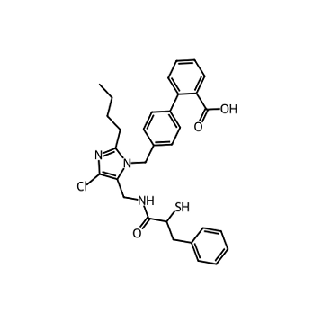 CCCCc1nc(Cl)c(CNC(=O)C(S)Cc2ccccc2)n1Cc1ccc(-c2ccccc2C(=O)O)cc1